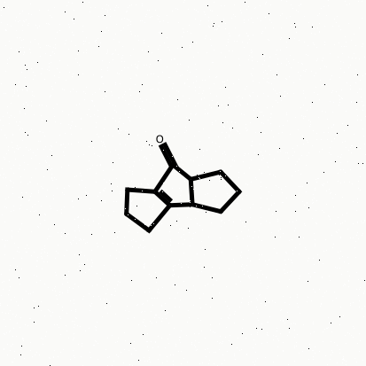 O=C1C2=C(CCC2)C2CCCC12